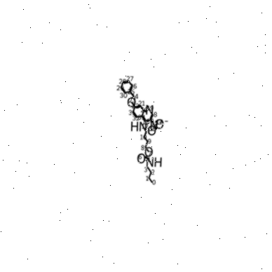 CCCCNC(=O)OCCCCNc1c([N+](=O)[O-])cnc2cc(OCc3ccccc3)ccc12